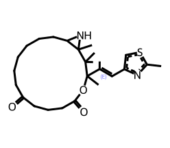 C/C(=C\c1csc(C)n1)C1(C)OC(=O)CCCC(=O)CCCCCCC2NC2(C)C1(C)C